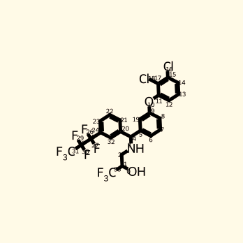 OC(CNC(c1cccc(Oc2cccc(Cl)c2Cl)c1)c1cccc(C(F)(F)C(F)(F)C(F)(F)F)c1)C(F)(F)F